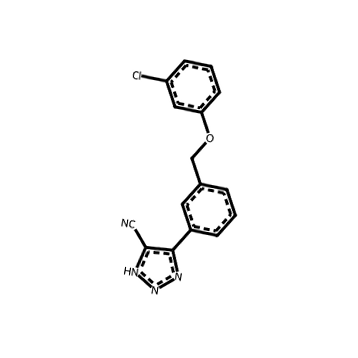 N#Cc1[nH]nnc1-c1cccc(COc2cccc(Cl)c2)c1